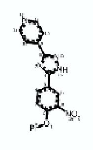 CC(C)Oc1ccc(-c2nc(-c3ccncc3)n[nH]2)cc1[N+](=O)[O-]